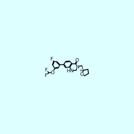 O=C1c2ccc(-c3cc(F)cc(OC(F)F)c3)cc2NCN1C[C@H]1CCCO1